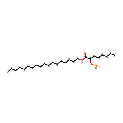 CCCCCCCCCCCCCCCCCCOC(=O)C(CCCCCC)OP